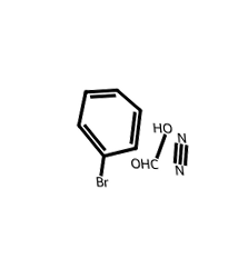 Brc1ccccc1.N#N.O=CO